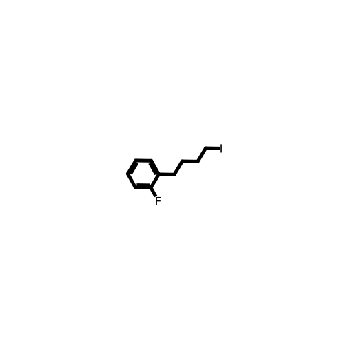 Fc1ccccc1CCCCI